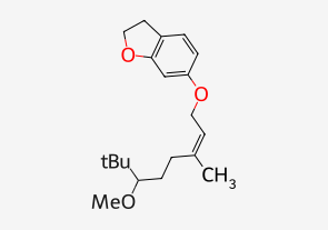 COC(CCC(C)=CCOc1ccc2c(c1)OCC2)C(C)(C)C